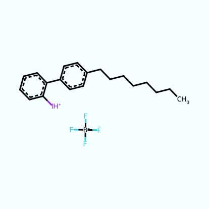 CCCCCCCCc1ccc(-c2ccccc2[IH+])cc1.F[B-](F)(F)F